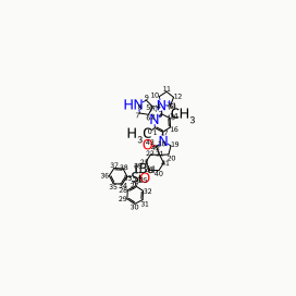 Cc1nc([N+]2([C@@H]3CCNC3)CCC[C@@H]2C)ccc1N1CCC2(CCC(O[Si](c3ccccc3)(c3ccccc3)C(C)(C)C)CC2)C1=O